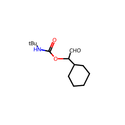 CC(C)(C)NC(=O)OC(C=O)C1CCCCC1